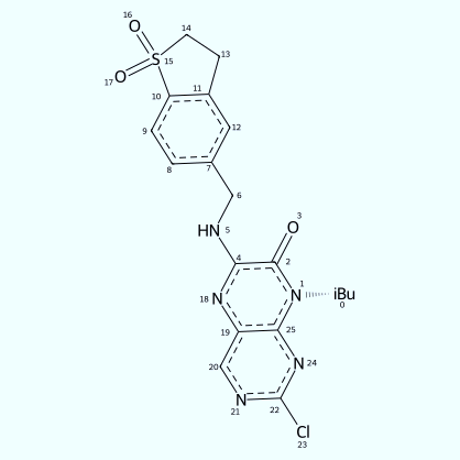 CC[C@@H](C)n1c(=O)c(NCc2ccc3c(c2)CCS3(=O)=O)nc2cnc(Cl)nc21